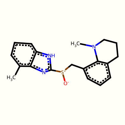 Cc1cccc2[nH]c([S+]([O-])Cc3cccc4c3N(C)CCC4)nc12